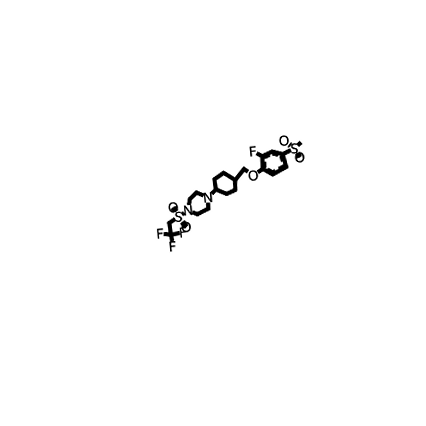 CS(=O)(=O)c1ccc(OCC2CCC(N3CCN(S(=O)(=O)CC(F)(F)F)CC3)CC2)c(F)c1